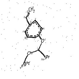 C=Cc1ccc(OC(OCCC)C(C)C)cc1